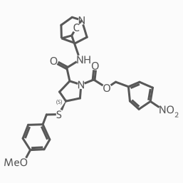 COc1ccc(CS[C@H]2CC(C(=O)NC3CN4CCC3CC4)N(C(=O)OCc3ccc([N+](=O)[O-])cc3)C2)cc1